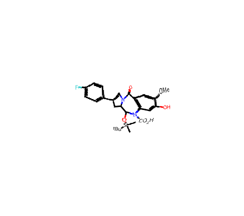 COc1cc2c(cc1O)N(C(=O)O)C(O[Si](C)(C)C(C)(C)C)C1CC(c3ccc(F)cc3)=CN1C2=O